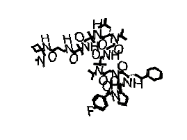 CC(C)C[C@@H](C(=O)NC(C)(C)C(=O)NC(C)(C)C(=O)NCCC(=O)NC1(CN(C)C)CCC1)N(C(=O)CNC(=O)C(C)(C)N(C(=O)CNC(=O)[C@H](CCC1CCCCC1)NC(=O)C1CCCN1C(=O)c1ccc(F)cc1)C(C)C)C(C)C